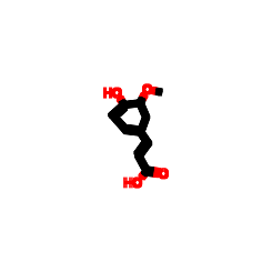 COC1CC(C=CC(=O)O)=CC=C1O